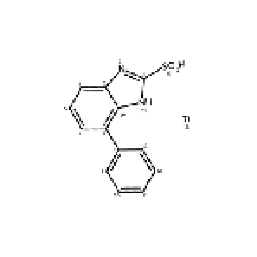 O=S(=O)(O)c1nc2cccc(-c3ccccc3)c2[nH]1.[Ti]